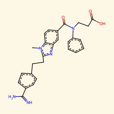 Cn1c(CCc2ccc(C(=N)N)cc2)nc2cc(C(=O)N(CCC(=O)O)c3ccccc3)ccc21